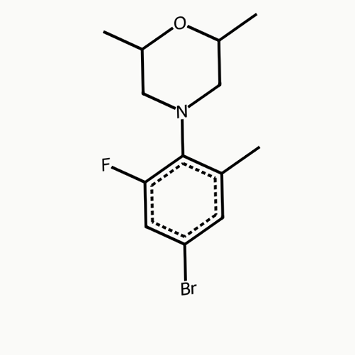 Cc1cc(Br)cc(F)c1N1CC(C)OC(C)C1